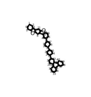 c1ccc2c(c1)oc1cc3c(cc12)oc1ccc(-c2ccc(-c4ccc(-c5ccc6c7ccccc7c7ccccc7c6c5)cc4)cc2)cc13